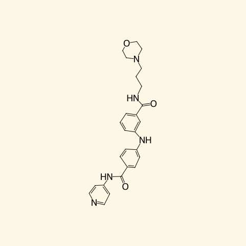 O=C(NCCCN1CCOCC1)c1cccc(Nc2ccc(C(=O)Nc3ccncc3)cc2)c1